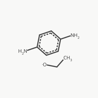 CC[O].Nc1ccc(N)cc1